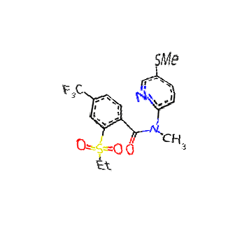 CCS(=O)(=O)c1cc(C(F)(F)F)ccc1C(=O)N(C)c1ccc(SC)cn1